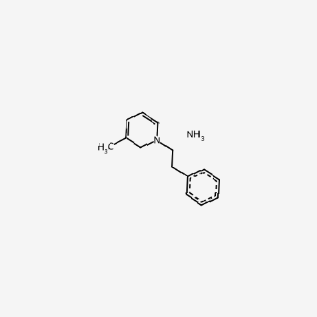 CC1=CC=CN(CCc2ccccc2)C1.N